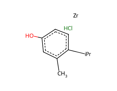 Cc1cc(O)ccc1C(C)C.Cl.[Zr]